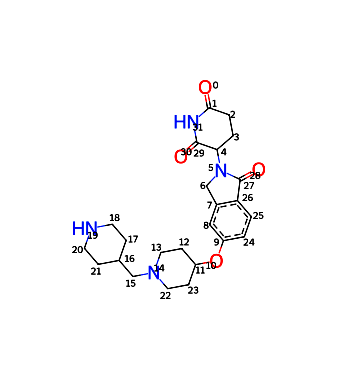 O=C1CCC(N2Cc3cc(OC4CCN(CC5CCNCC5)CC4)ccc3C2=O)C(=O)N1